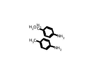 Cc1ccc(N)cc1.Cc1ccc(N)cc1.O